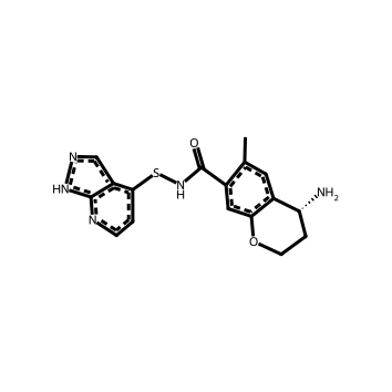 Cc1cc2c(cc1C(=O)NSc1ccnc3[nH]ncc13)OCC[C@H]2N